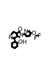 O=C1c2ccnc(-c3ccccc3O)c2CN1c1ccc(OC(F)F)cn1